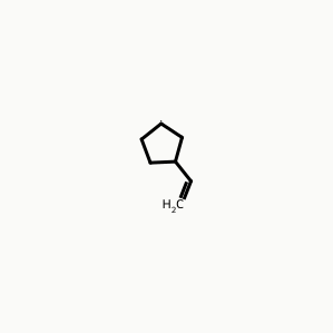 C=CC1C[CH]CC1